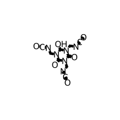 O=C=NCN1C(=O)N(CN=C=O)C(O)N(CN=C=O)C1=O